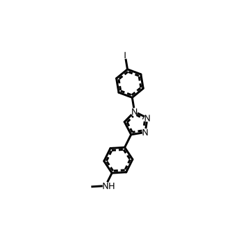 CNc1ccc(-c2cn(-c3ccc(I)cc3)nn2)cc1